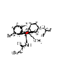 CN1C(=O)C2(N=C1NC(=O)OC(C)(C)C)c1cc(Br)ccc1C[C@]21CC[C@@H](OC(F)F)CC1